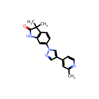 Cc1cc(-c2cnn(-c3ccc4c(c3)NC(=O)C4(C)C)c2)ccn1